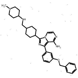 CN1CCC(NCC2CCC(c3nc(-c4cccc(OCc5ccccc5)c4)c4c(N)nccn34)CC2)CC1